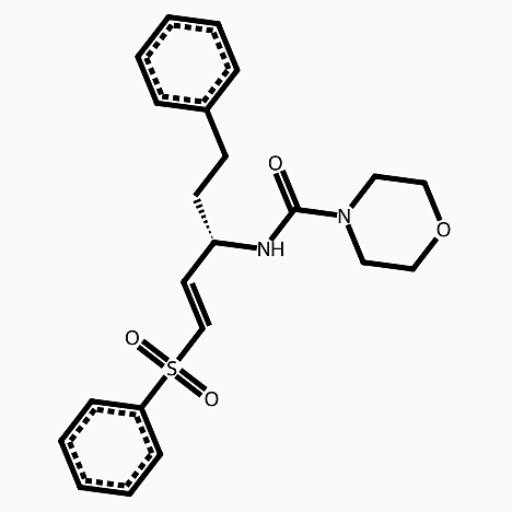 O=C(N[C@H](C=CS(=O)(=O)c1ccccc1)CCc1ccccc1)N1CCOCC1